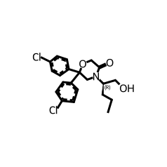 CCC[C@H](CO)N1CC(c2ccc(Cl)cc2)(c2ccc(Cl)cc2)OCC1=O